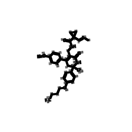 C/N=C/C1(C(=O)NCC2=C(c3ccc(OC)cn3)C[C@](c3ccc(OCCCC(F)(F)F)cc3)(C(F)(F)F)NC2=O)CC1